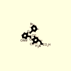 COc1cccc(OCc2cccc(Br)c2)c1COc1c(Cl)cc(CC(N)C(=O)O)cc1Cl